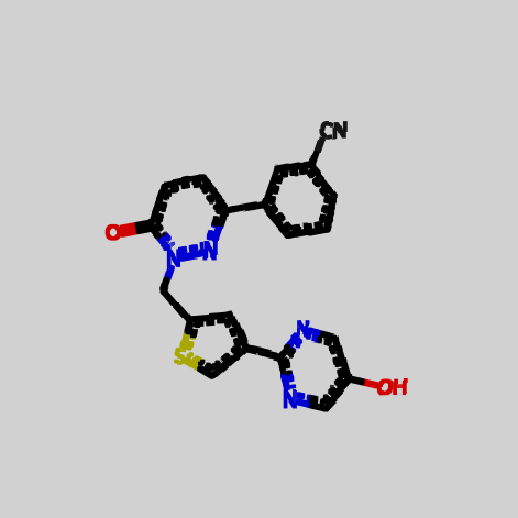 N#Cc1cccc(-c2ccc(=O)n(Cc3cc(-c4ncc(O)cn4)cs3)n2)c1